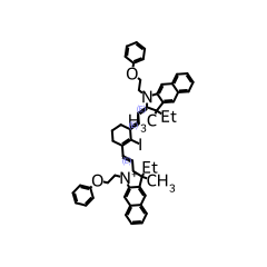 CCC1(C)C(/C=C/C2=C(I)C(=C/C=C3/N(CCOc4ccccc4)c4cc5ccccc5cc4C3(C)CC)/CCC2)=[N+](CCOc2ccccc2)c2cc3ccccc3cc21